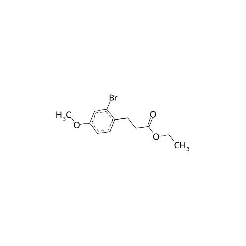 CCOC(=O)CCc1ccc(OC)cc1Br